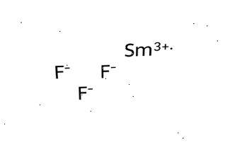 [F-].[F-].[F-].[Sm+3]